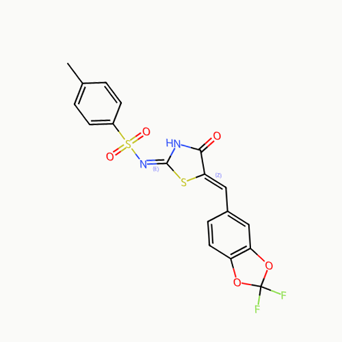 Cc1ccc(S(=O)(=O)/N=C2\NC(=O)/C(=C/c3ccc4c(c3)OC(F)(F)O4)S2)cc1